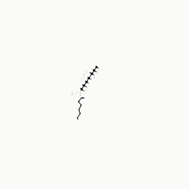 FCCCCCC(F)NC(F)(F)C(F)(F)C(F)(F)C(F)(F)C(F)(F)C(F)(F)C(F)(F)C(F)(F)F